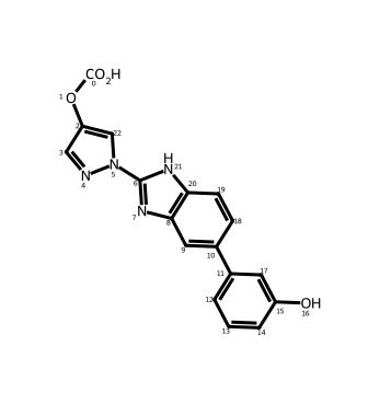 O=C(O)Oc1cnn(-c2nc3cc(-c4cccc(O)c4)ccc3[nH]2)c1